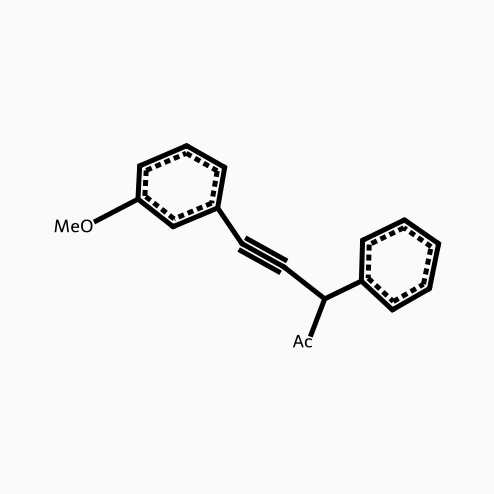 COc1cccc(C#CC(C(C)=O)c2ccccc2)c1